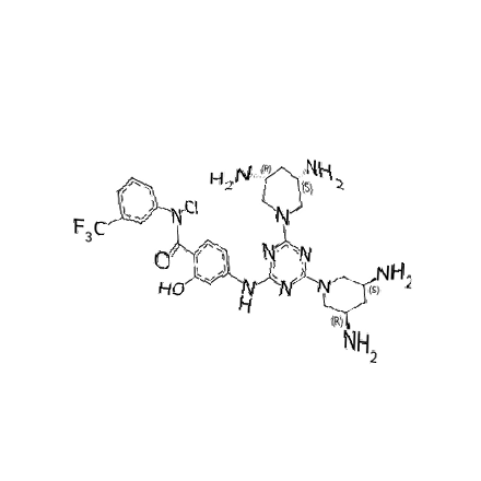 N[C@@H]1C[C@H](N)CN(c2nc(Nc3ccc(C(=O)N(Cl)c4cccc(C(F)(F)F)c4)c(O)c3)nc(N3C[C@H](N)C[C@H](N)C3)n2)C1